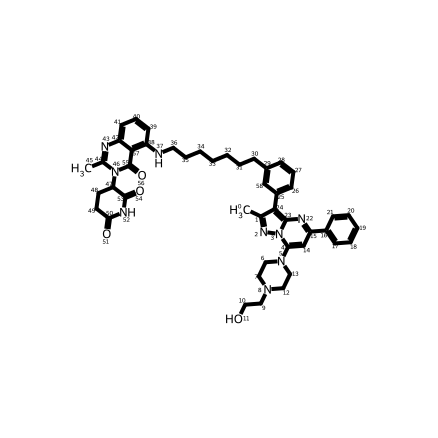 Cc1nn2c(N3CCN(CCO)CC3)cc(-c3ccccc3)nc2c1-c1cccc(CCCCCCCNc2cccc3nc(C)n(C4CCC(=O)NC4=O)c(=O)c23)c1